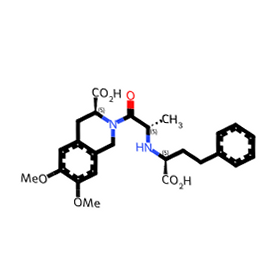 COc1cc2c(cc1OC)CN(C(=O)[C@H](C)N[C@@H](CCc1ccccc1)C(=O)O)[C@H](C(=O)O)C2